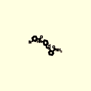 NC(=O)c1ccccc1NCc1cccc(NC(=O)c2cccc(Br)c2)c1